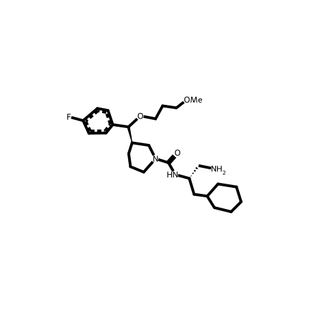 COCCCOC(c1ccc(F)cc1)[C@@H]1CCCN(C(=O)N[C@H](CN)CC2CCCCC2)C1